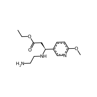 CCOC(=O)C[C@H](NCCN)c1ccc(OC)nc1